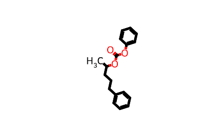 CC(CCCc1ccccc1)OC(=O)Oc1ccccc1